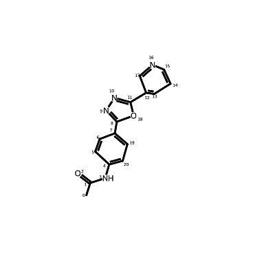 CC(=O)Nc1ccc(-c2nnc(-c3cccnc3)o2)cc1